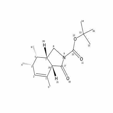 CC1=C[C@H](C)[C@H](C)[C@@H]2CN(C(=O)OC(C)(C)C)C(=O)[C@H]12